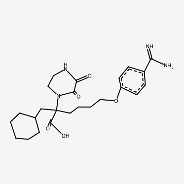 N=C(N)c1ccc(OCCCCC(CC2CCCCC2)(C(=O)O)N2CCNC(=O)C2=O)cc1